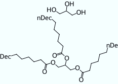 CCCCCCCCCCCCCCCC(=O)OCC(COC(=O)CCCCCCCCCCCCCCC)OC(=O)CCCCCCCCCCCCCCC.OCC(O)CO